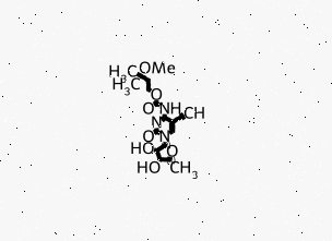 C#Cc1cn([C@@H]2O[C@H](C)C(O)C2O)c(=O)nc1NC(=O)OCCC(C)(C)OC